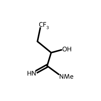 CNC(=N)C(O)CC(F)(F)F